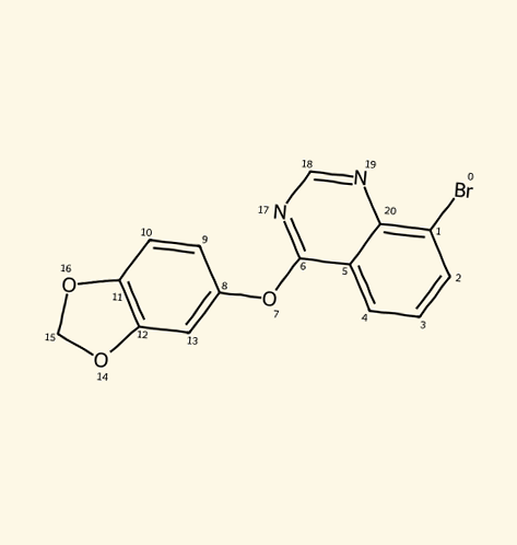 Brc1cccc2c(Oc3ccc4c(c3)OCO4)ncnc12